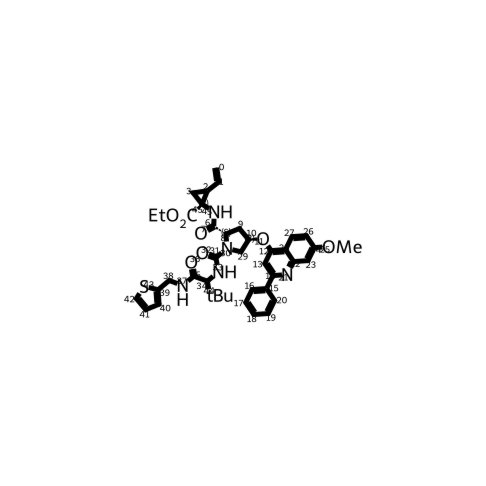 C=CC1C[C@]1(NC(=O)[C@@H]1C[C@@H](Oc2cc(-c3ccccc3)nc3cc(OC)ccc23)CN1C(=O)NC(C(=O)NCc1cccs1)C(C)(C)C)C(=O)OCC